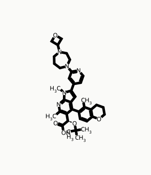 Cc1nc2c(cc(-c3ccnc(N4CCCN(C5COC5)CC4)c3)n2C)c(-c2ccc3c(c2C)CCCO3)c1[C@H](OC(C)(C)C)C(=O)O